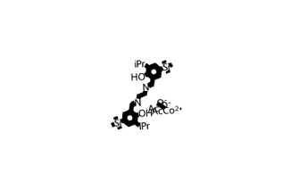 CC(=O)[O-].CC(=O)[O-].CC(C)c1cc([Si](C)(C)C)cc(C=NCCN=Cc2cc([Si](C)(C)C)cc(C(C)C)c2O)c1O.[Co+2]